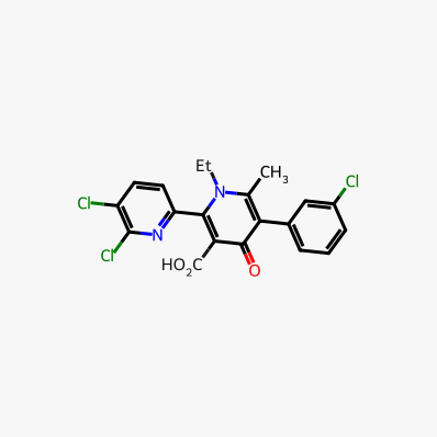 CCn1c(C)c(-c2cccc(Cl)c2)c(=O)c(C(=O)O)c1-c1ccc(Cl)c(Cl)n1